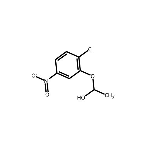 [CH2]C(O)Oc1cc([N+](=O)[O-])ccc1Cl